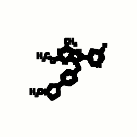 COc1nc(C)c2nc(-c3cncc(F)c3)n(Cc3ccc(C4CCN(C)C4)cc3)c2n1